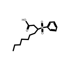 CCCCCCCC(CC(=O)O)S(=O)(=O)c1ccccc1